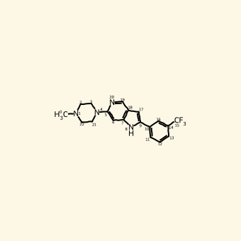 CN1CCN(c2cc3[nH]c(-c4cccc(C(F)(F)F)c4)cc3cn2)CC1